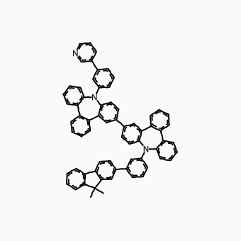 CC1(C)c2ccccc2-c2ccc(-c3cccc(N4c5ccccc5-c5ccccc5-c5cc(-c6ccc7c(c6)-c6ccccc6-c6ccccc6N7c6cccc(-c7cccnc7)c6)ccc54)c3)cc21